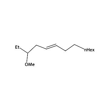 [CH2]CC(CC=CCCCCCCCC)OC